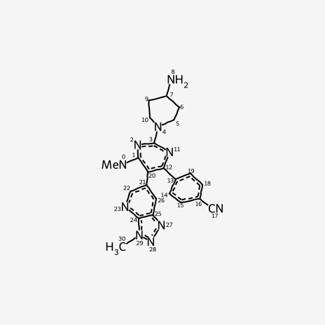 CNc1nc(N2CCC(N)CC2)nc(-c2ccc(C#N)cc2)c1-c1cnc2c(c1)nnn2C